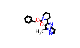 Cc1cc(C2CCCCN2C(=O)OCc2ccccc2)nc2ccnn12